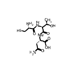 C[C@@H](O)[C@H](NC(=O)[C@@H](N)CS)C(=O)N[C@@H](CC(N)=O)C(=O)O